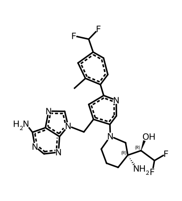 Cc1cc(C(F)F)ccc1-c1cc(Cn2cnc3c(N)ncnc32)c(N2CCC[C@](N)([C@@H](O)C(F)F)C2)cn1